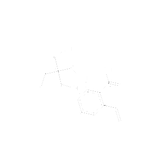 C=Cc1ccccc1C(=O)O.CCC(CO)(CO)CO